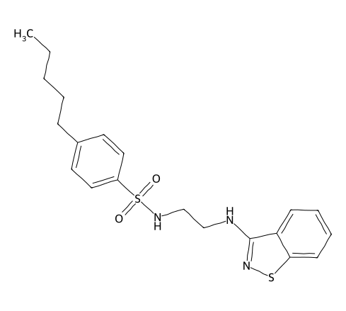 CCCCCc1ccc(S(=O)(=O)NCCNc2nsc3ccccc23)cc1